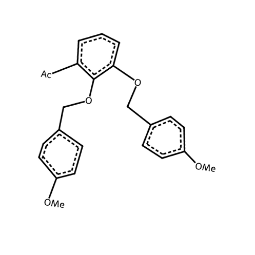 COc1ccc(COc2cccc(C(C)=O)c2OCc2ccc(OC)cc2)cc1